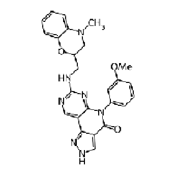 COc1cccc(-n2c(=O)c3c[nH]nc3c3cnc(NCC4CN(C)c5ccccc5O4)nc32)c1